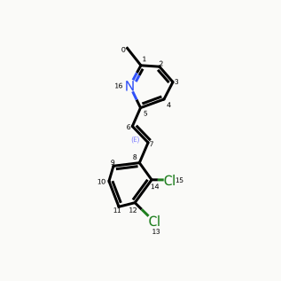 Cc1cccc(/C=C/c2cccc(Cl)c2Cl)n1